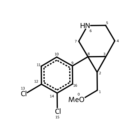 COCC1C2CCNCC21c1ccc(Cl)c(Cl)c1